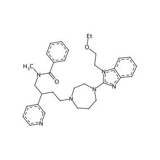 CCOCCn1c(N2CCCN(CCC(CN(C)C(=O)c3ccccc3)c3cccnc3)CC2)nc2ccccc21